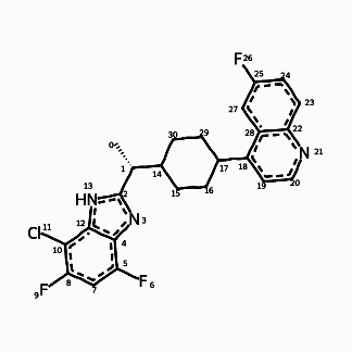 C[C@@H](c1nc2c(F)cc(F)c(Cl)c2[nH]1)C1CCC(c2ccnc3ccc(F)cc23)CC1